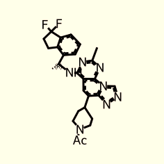 CC(=O)N1CCC(c2cc3c(N[C@H](C)c4cccc5c4CCC5(F)F)nc(C)nc3n3cnnc23)CC1